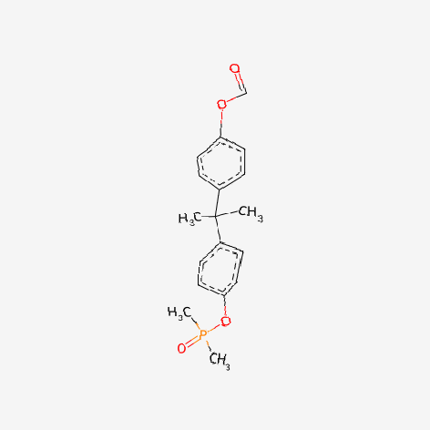 CC(C)(c1ccc(OC=O)cc1)c1ccc(OP(C)(C)=O)cc1